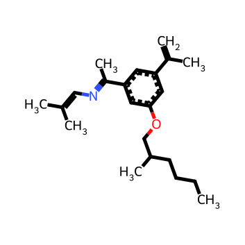 C=C(C)c1cc(OCC(C)CCCC)cc(/C(C)=N/C=C(C)C)c1